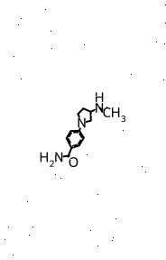 CNC1CCN(c2ccc(C(N)=O)cc2)C1